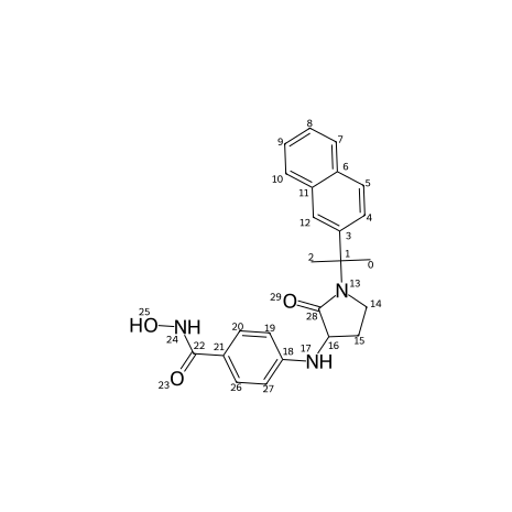 CC(C)(c1ccc2ccccc2c1)N1CCC(Nc2ccc(C(=O)NO)cc2)C1=O